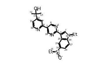 CCn1cc(-c2ncc(-c3cc(C(C)(C)O)ccn3)cn2)c2cc([S+]([O-])CC)ccc21